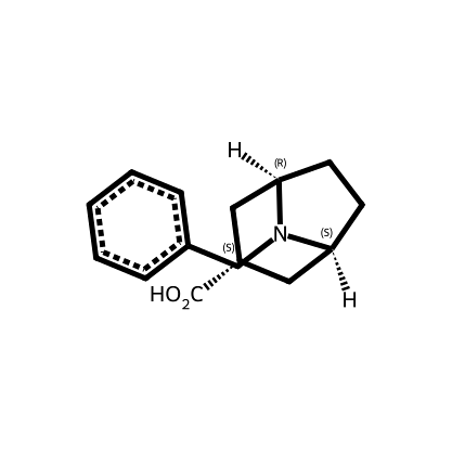 O=C(O)[C@@H]1C[C@H]2CC[C@@H](C1)N2Cc1ccccc1